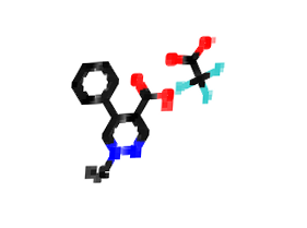 C[n+]1cc(-c2ccccc2)c(C(=O)O)cn1.O=C([O-])C(F)(F)F